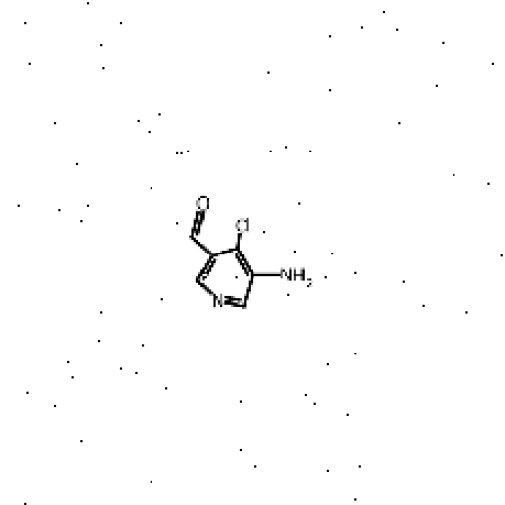 Nc1cncc(C=O)c1Cl